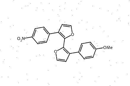 COc1ccc(-c2ccoc2-c2occc2-c2ccc([N+](=O)[O-])cc2)cc1